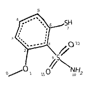 COc1cccc(S)c1S(N)(=O)=O